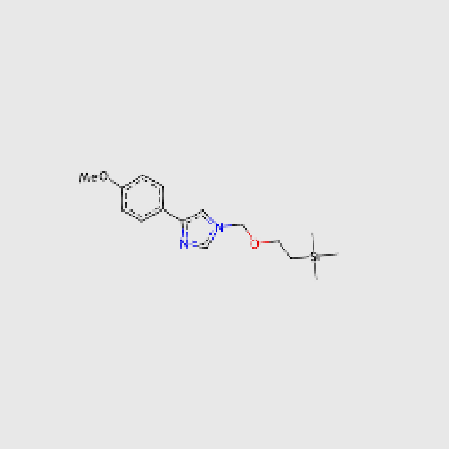 COc1ccc(-c2cn(COCC[Si](C)(C)C)cn2)cc1